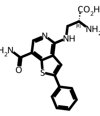 NC(=O)c1cnc(NC[C@@H](N)C(=O)O)c2cc(-c3ccccc3)sc12